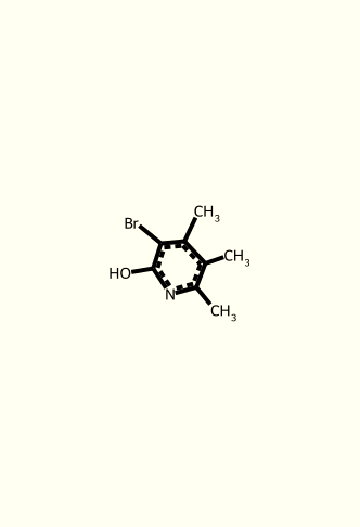 Cc1nc(O)c(Br)c(C)c1C